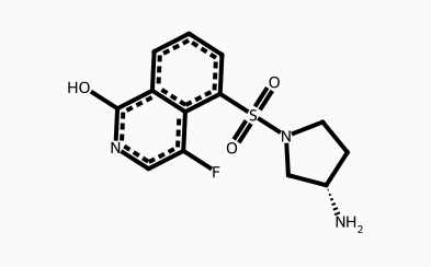 N[C@H]1CCN(S(=O)(=O)c2cccc3c(O)ncc(F)c23)C1